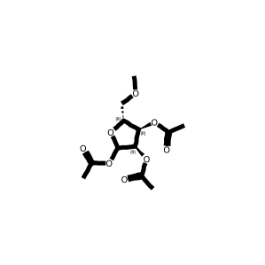 COC[C@H]1OC(OC(C)=O)[C@H](OC(C)=O)[C@@H]1OC(C)=O